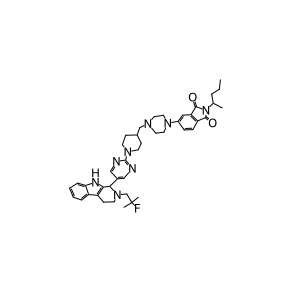 CCCC(C)N1C(=O)c2ccc(N3CCN(CC4CCN(c5ncc(C6c7[nH]c8ccccc8c7CCN6CC(C)(C)F)cn5)CC4)CC3)cc2C1=O